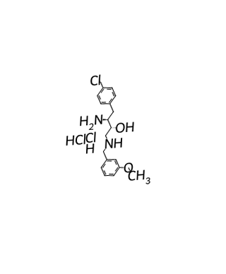 COc1cccc(CNC[C@@H](O)[C@@H](N)Cc2ccc(Cl)cc2)c1.Cl.Cl